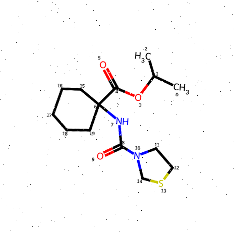 CC(C)OC(=O)C1(NC(=O)N2CCSC2)CCCCC1